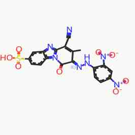 CC1=C(C#N)c2nc3cc(S(=O)(=O)O)ccc3n2C(=O)/C1=N/Nc1ccc([N+](=O)[O-])cc1[N+](=O)[O-]